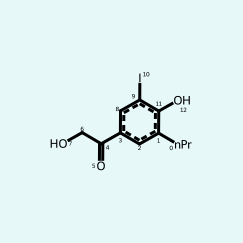 CCCc1cc(C(=O)CO)cc(I)c1O